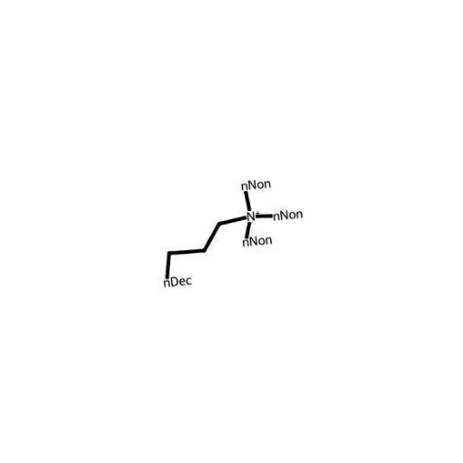 CCCCCCCCCCCCC[N+](CCCCCCCCC)(CCCCCCCCC)CCCCCCCCC